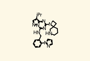 CC(C)c1cnn2c(NCc3ccccc3-n3cccn3)nc(N3CCC34CCCNC4)nc12